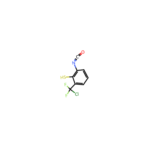 O=C=Nc1cccc(C(F)(F)Cl)c1S